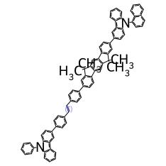 CC1(C)c2cc(-c3ccc(/C=C/c4ccc(-c5ccc6c(c5)c5ccccc5n6-c5ccccc5)cc4)cc3)ccc2-c2cc3c(cc21)-c1ccc(-c2ccc4c(c2)c2ccccc2n4-c2cccc4ccccc24)cc1C3(C)C